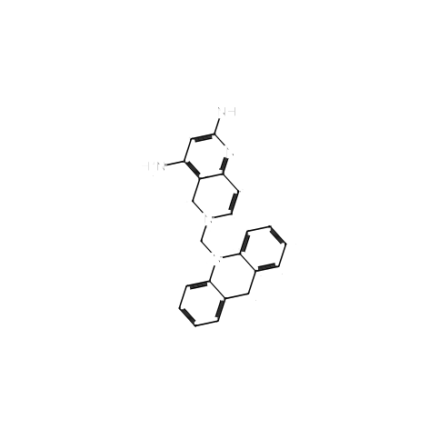 Nc1cc(N)c2c(n1)C=CN(CN1c3ccccc3Cc3ccccc31)C2